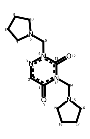 O=c1cnn(CN2CCCC2)c(=O)n1CN1CCCC1